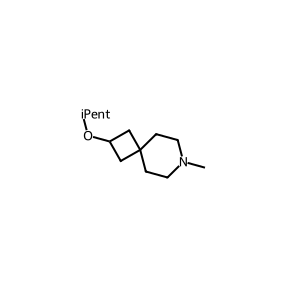 CCCC(C)OC1CC2(CCN(C)CC2)C1